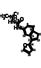 CN(C)NC(=O)Nc1ccc2c(c1)C(c1ccco1)=CC2